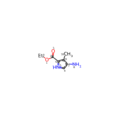 CCOC(=O)c1[nH]cc(N)c1C